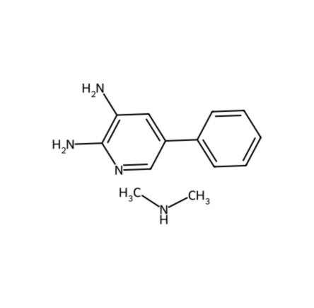 CNC.Nc1cc(-c2ccccc2)cnc1N